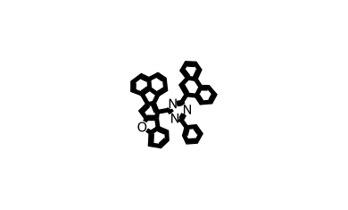 c1ccc(-c2nc(-c3cc4ccccc4c4ccccc34)nc(-c3c4c(cc5oc6ccccc6c35)-c3cccc5cccc-4c35)n2)cc1